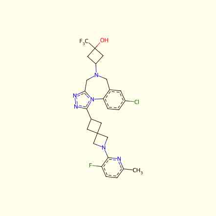 Cc1ccc(F)c(N2CC3(CC(c4nnc5n4-c4ccc(Cl)cc4CN(C4CC(O)(C(F)(F)F)C4)C5)C3)C2)n1